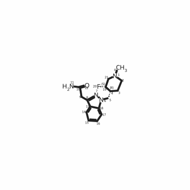 CN1CC[C@H](Cn2nc(CC(N)=O)c3ccccc32)[C@H](F)C1